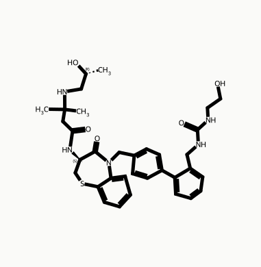 C[C@@H](O)CNC(C)(C)CC(=O)N[C@@H]1CSc2ccccc2N(Cc2ccc(-c3ccccc3CNC(=O)NCCO)cc2)C1=O